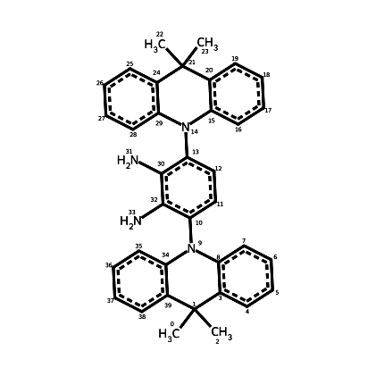 CC1(C)c2ccccc2N(c2ccc(N3c4ccccc4C(C)(C)c4ccccc43)c(N)c2N)c2ccccc21